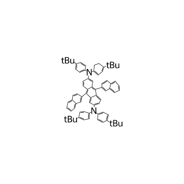 CC(C)(C)C1=CC=C(N(c2ccc(C(C)(C)C)cc2)c2ccc3c(-c4ccc5ccccc5c4)c4cc(N(c5ccc(C(C)(C)C)cc5)c5ccc(C(C)(C)C)cc5)ccc4c(-c4ccc5ccccc5c4)c3c2)CC1